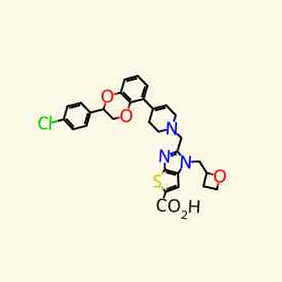 O=C(O)c1cc2c(nc(CN3CC=C(c4cccc5c4OCC(c4ccc(Cl)cc4)O5)CC3)n2CC2CCO2)s1